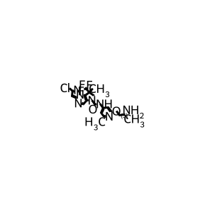 Cc1cc(NC(=O)N2CC(C)(C(F)(F)F)c3c2cnc2cc(Cl)nn32)cc(OC[C@H](C)N)n1